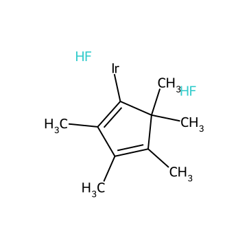 CC1=C(C)C(C)(C)[C]([Ir])=C1C.F.F